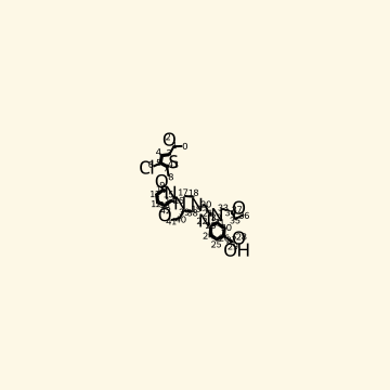 CC(=O)c1cc(Cl)c(COc2ccc3c(n2)N2CCN(Cc4nc5ccc(C(=O)O)cc5n4C[C@@H]4CCO4)CC2CCO3)s1